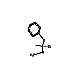 CC[C@@](C)(OP)Oc1ccccc1